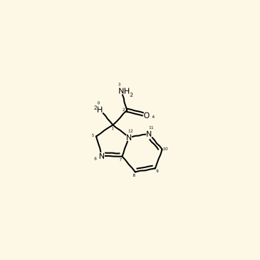 [2H]C1(C(N)=O)CN=C2C=CC=NN21